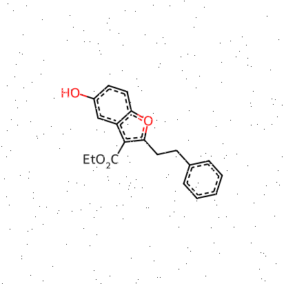 CCOC(=O)c1c(CCc2ccccc2)oc2ccc(O)cc12